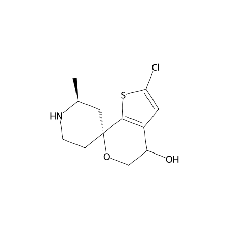 C[C@H]1C[C@@]2(CCN1)OCC(O)c1cc(Cl)sc12